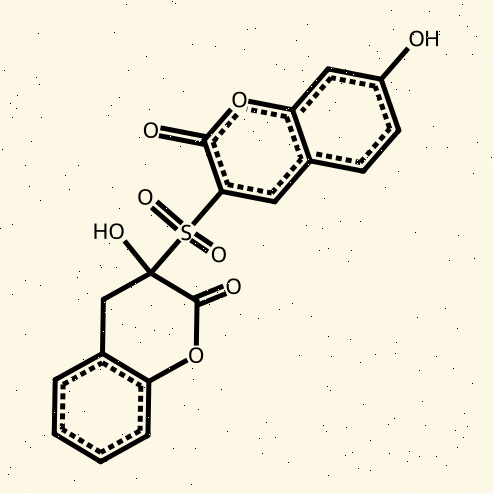 O=C1Oc2ccccc2CC1(O)S(=O)(=O)c1cc2ccc(O)cc2oc1=O